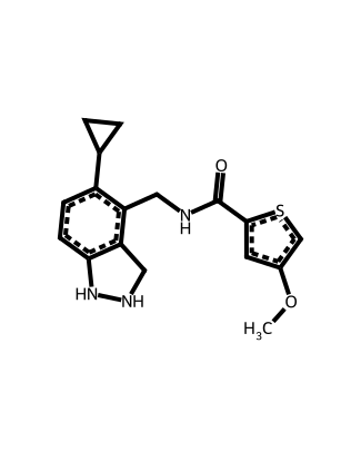 COc1csc(C(=O)NCc2c(C3CC3)ccc3c2CNN3)c1